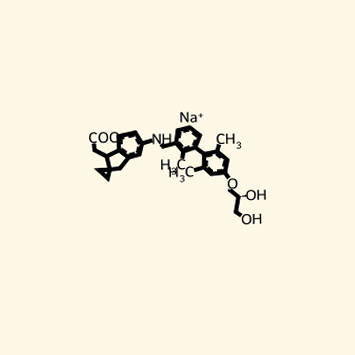 Cc1cc(OC[C@H](O)CO)cc(C)c1-c1cccc(CNc2ccc3c(c2)CC2(CC2)C3CC(=O)[O-])c1C.[Na+]